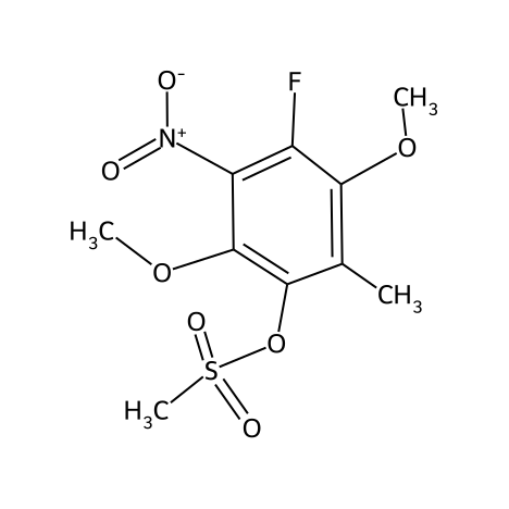 COc1c(C)c(OS(C)(=O)=O)c(OC)c([N+](=O)[O-])c1F